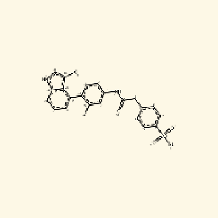 CCS(=O)(=O)c1ccc(CC(=O)Nc2ccc(-c3cccc4[nH]cc(Cl)c34)c(C)c2)cc1